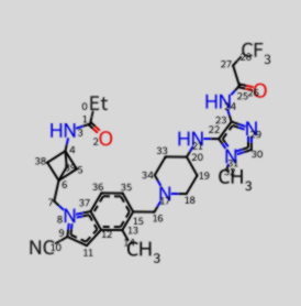 CCC(=O)NC12CC(Cn3c(C#N)cc4c(C)c(CN5CCC(Nc6c(NC(=O)CC(F)(F)F)ncn6C)CC5)ccc43)(C1)C2